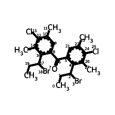 CCC(Br)c1c(C(=O)c2cc(C)c(Cl)c(C)c2C(Br)CC)cc(C)c(Cl)c1C